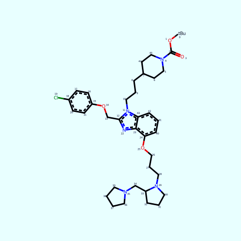 CC(C)(C)OC(=O)N1CCC(CCCn2c(COc3ccc(Cl)cc3)nc3c(OCCCN4CCCC4CN4CCCC4)cccc32)CC1